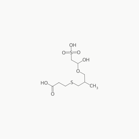 CC(COC(O)CS(=O)(=O)O)CSCCC(=O)O